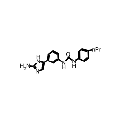 CCCc1ccc(NC(=O)Nc2cccc(-c3cnc(N)[nH]3)c2)cc1